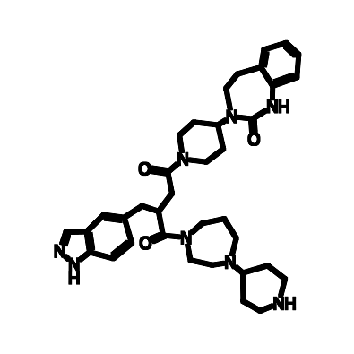 O=C(CC(Cc1ccc2[nH]ncc2c1)C(=O)N1CCCN(C2CCNCC2)CC1)N1CCC(N2CCc3ccccc3NC2=O)CC1